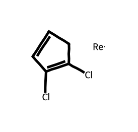 ClC1=C(Cl)CC=C1.[Re]